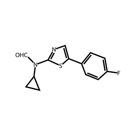 O=CN(c1ncc(-c2ccc(F)cc2)s1)C1CC1